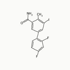 Cc1c(I)cc(-c2ccc(F)cc2F)cc1C(N)=O